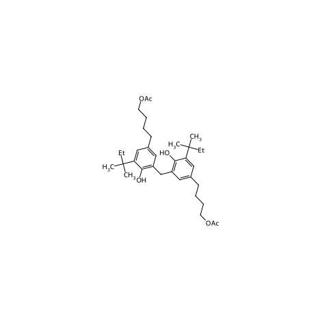 CCC(C)(C)c1cc(CCCCOC(C)=O)cc(Cc2cc(CCCCOC(C)=O)cc(C(C)(C)CC)c2O)c1O